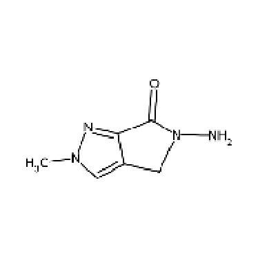 Cn1cc2c(n1)C(=O)N(N)C2